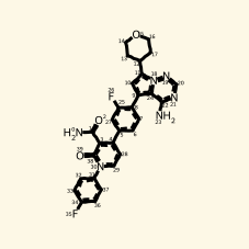 NC(=O)c1c(-c2ccc(-c3cc(C4CCOCC4)n4ncnc(N)c34)c(F)c2)ccn(-c2ccc(F)cc2)c1=O